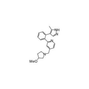 COC1CCN(Cc2ccnc(-c3ccccc3-c3cn[nH]c3C)c2)C1